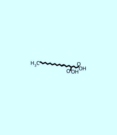 CCCCCCCCCCC=CCCC(CCC(=O)O)C(=O)O